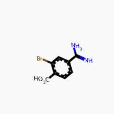 N=C(N)c1ccc(C(=O)O)c(Br)c1